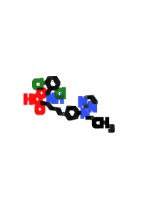 CCCN(c1ccc(/C=C/CC(NC(=O)c2c(Cl)cccc2Cl)C(=O)O)cc1)c1ncccn1